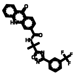 CC(C)(NC(=O)c1ccc2c(=O)c3ccccc3[nH]c2c1)c1nc(-c2cccc(C(F)(F)F)c2)no1